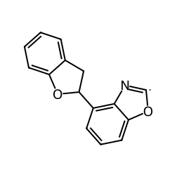 [c]1nc2c(C3Cc4ccccc4O3)cccc2o1